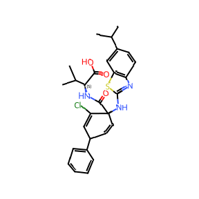 CC(C)c1ccc2nc(NC3(C(=O)N[C@H](C(=O)O)C(C)C)C=CC(c4ccccc4)C=C3Cl)sc2c1